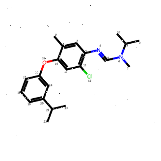 Cc1cc(N=CN(C)C(C)C)c(Cl)cc1Oc1cccc(C(C)C)c1